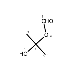 [CH2]C(C)(O)OC=O